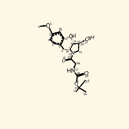 COc1ccc(C[C@@H]2[C@H](O)[C@@H](O)CN2C(=O)CNC(=O)OC(C)(C)C)cc1